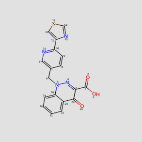 O=C(O)c1nn(Cc2ccc(-c3cscn3)nc2)c2ccccc2c1=O